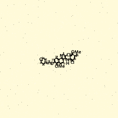 COc1cc(Nc2c(C#N)cnc3c2ccc2c(OC)c(OCCN4CCOCC4)ccc23)c(Cl)cc1F